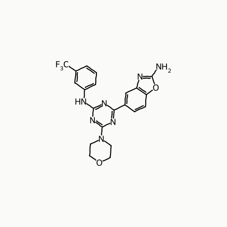 Nc1nc2cc(-c3nc(Nc4cccc(C(F)(F)F)c4)nc(N4CCOCC4)n3)ccc2o1